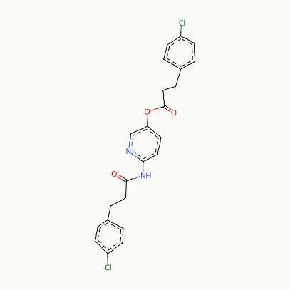 O=C(CCc1ccc(Cl)cc1)Nc1ccc(OC(=O)CCc2ccc(Cl)cc2)cn1